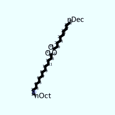 CCCCCCCC/C=C\CCCCCCCCCCCC(=O)OC(=O)CCCCCCCCCCCCCCCCCCC